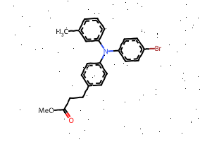 COC(=O)CCc1ccc(N(c2ccc(Br)cc2)c2cccc(C)c2)cc1